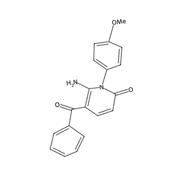 COc1ccc(-n2c(N)c(C(=O)c3ccccc3)ccc2=O)cc1